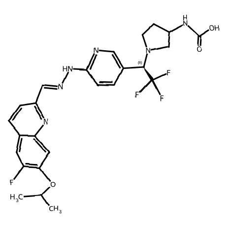 CC(C)Oc1cc2nc(C=NNc3ccc([C@@H](N4CCC(NC(=O)O)C4)C(F)(F)F)cn3)ccc2cc1F